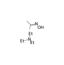 CC(C)=NO.CCN(CC)CC